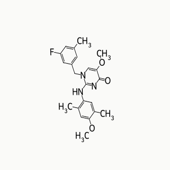 COc1cc(C)c(Nc2nc(=O)c(OC)cn2Cc2cc(C)cc(F)c2)cc1C